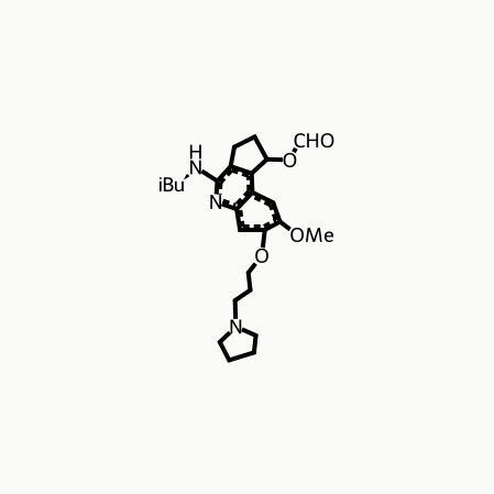 CC[C@@H](C)Nc1nc2cc(OCCCN3CCCC3)c(OC)cc2c2c1CCC2OC=O